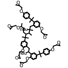 CCCCC(Cc1cc(C(C)(C)C(CCC(C)OCC2CO2)C(C)C(C)(CCCC)Cc2cc(OCC3CO3)ccc2C(C)(C)c2ccc(OCC3CO3)cc2)ccc1OCC1CO1)c1cc(C(C)(C)c2ccc(OCC3CO3)cc2)ccc1OCC1CO1